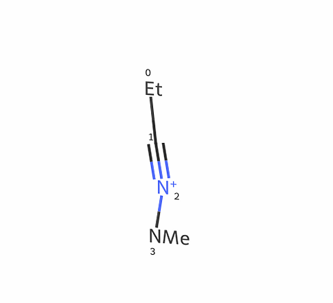 CCC#[N+]NC